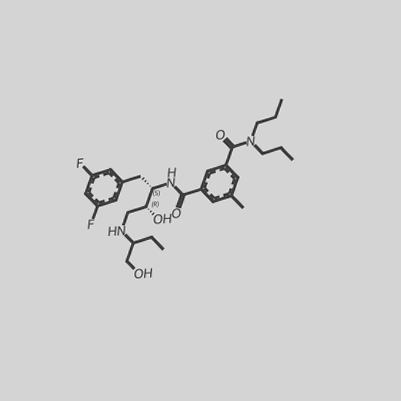 CCCN(CCC)C(=O)c1cc(C)cc(C(=O)N[C@@H](Cc2cc(F)cc(F)c2)[C@H](O)CNC(CC)CO)c1